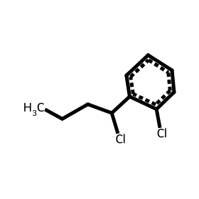 CCCC(Cl)c1ccccc1Cl